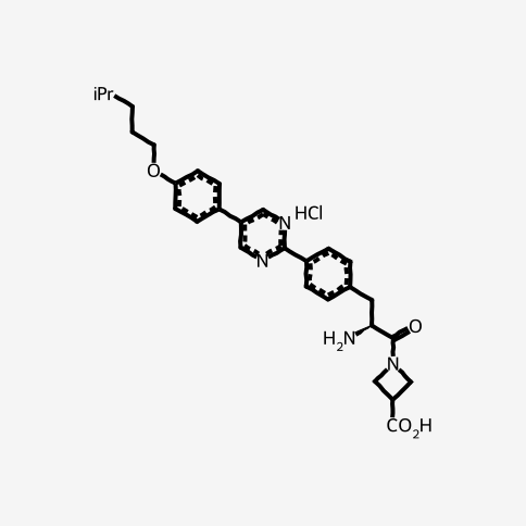 CC(C)CCCOc1ccc(-c2cnc(-c3ccc(C[C@H](N)C(=O)N4CC(C(=O)O)C4)cc3)nc2)cc1.Cl